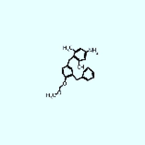 COCOc1ccc(Cc2c(C)cc(N)cc2C)cc1Cc1ccccc1